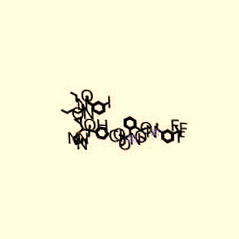 CC(C1CC1)C(O)(Cn1cncn1)c1ccc(Cl)cc1.CCCOc1nc2ccc(I)cc2c(=O)n1CCC.CO/N=C(/C(=O)OC)c1ccccc1CO/N=C(\C)c1cccc(C(F)(F)F)c1